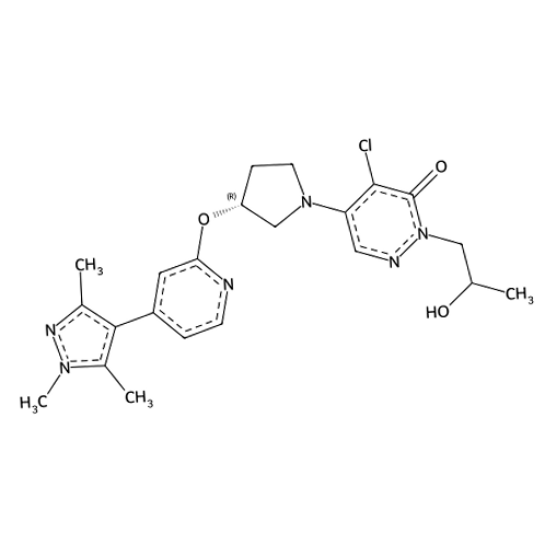 Cc1nn(C)c(C)c1-c1ccnc(O[C@@H]2CCN(c3cnn(CC(C)O)c(=O)c3Cl)C2)c1